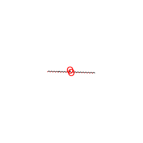 CCCCCCCCC=CCCCCCCCC(=O)OCCCCCCCCCCCCCCCCCC